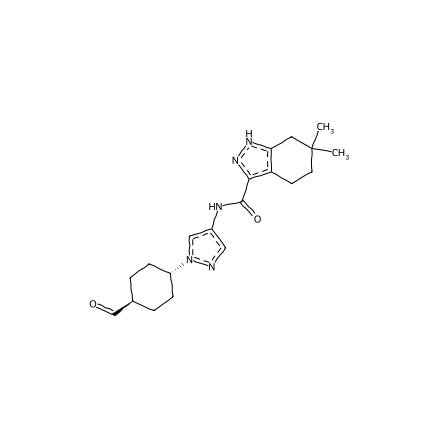 CC1(C)CCc2c(C(=O)Nc3cnn([C@H]4CC[C@H](C=O)CC4)c3)n[nH]c2C1